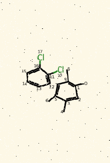 Cc1cc(C)c(C)cc1C.Clc1ccccc1Cl